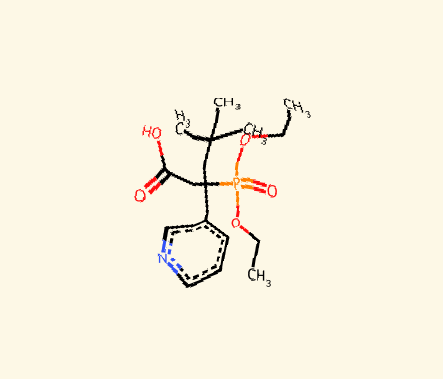 CCOP(=O)(OCC)C(C(=O)O)(c1cccnc1)C(C)(C)C